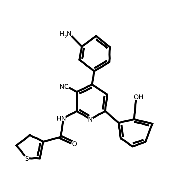 N#Cc1c(-c2cccc(N)c2)cc(-c2ccccc2O)nc1NC(=O)C1=CSCC1